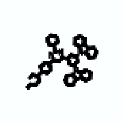 C=C/C=C\C(=C/C)c1ccc(-c2cc(-c3cc(-n4c5c(c6ccccc64)CCC=C5)cc(-n4c5ccccc5c5ccccc54)c3)nc(-c3ccccc3)n2)cc1